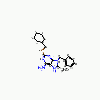 Nc1nc(SCC2CCCCC2)nc2c1NC(C=O)N2Cc1ccccc1